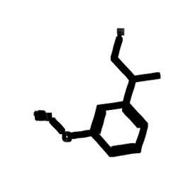 C[C](CF)c1cccc(OC(C)(C)C)c1